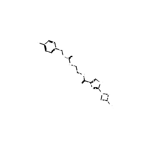 O=C(NCCNC(=O)c1csc(N2CC(O)C2)n1)OCc1ccc([N+](=O)[O-])cc1